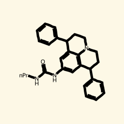 CCCNC(=O)Nc1cc2c3c(c1)C(c1ccccc1)CCN3CCC2c1ccccc1